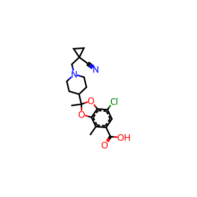 Cc1c(C(=O)O)cc(Cl)c2c1OC(C)(C1CCN(CC3(C#N)CC3)CC1)O2